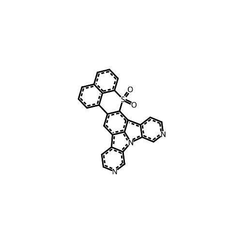 O=S1(=O)c2cccc3cccc(c23)-c2cc3c4ccncc4n4c5cnccc5c(c21)c34